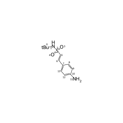 CC(C)(C)NS(=O)(=O)C=Cc1ccc(N)cc1